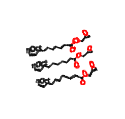 CCCCCCCC/C=C\CCCCCCCC(=O)OCC1CO1.CCCCCCCC/C=C\CCCCCCCC(=O)OCC1CO1.CCCCCCCC/C=C\CCCCCCCC(=O)OCC1CO1